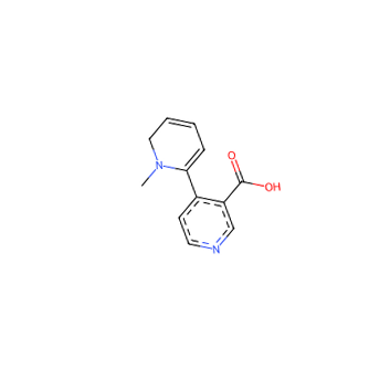 CN1CC=CC=C1c1ccncc1C(=O)O